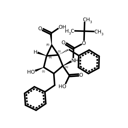 CC(C)(C)OC(=O)N[C@@]1(C(=O)O)C(Cc2ccccc2)[C@@H](O)[C@@H]2[C@@H](C(=O)O)[C@]21Cc1ccccc1